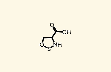 O=C(O)C1COSN1